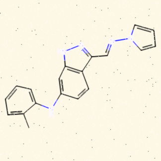 O=C(O)c1ccccc1Nc1ccc2c(C=Nn3cccc3)n[nH]c2c1